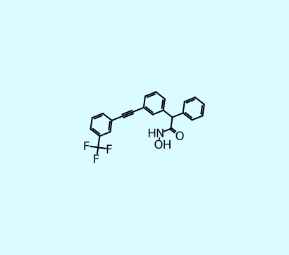 O=C(NO)C(c1ccccc1)c1cccc(C#Cc2cccc(C(F)(F)F)c2)c1